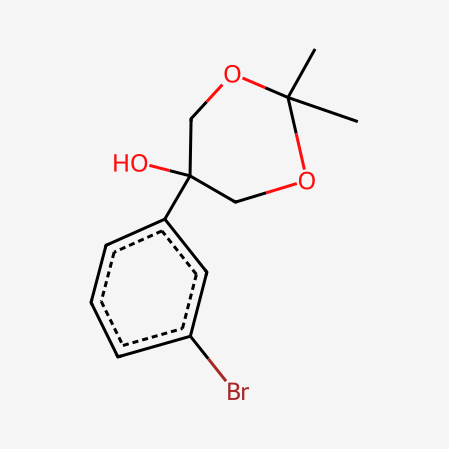 CC1(C)OCC(O)(c2cccc(Br)c2)CO1